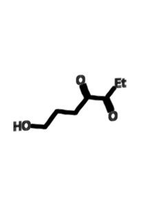 CCC(=O)C(=O)CCCO